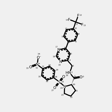 O=C(NCc1cc(-c2ccc(C(F)(F)F)cc2)ncn1)[C@@H]1CCCN1S(=O)(=O)c1ccc([N+](=O)[O-])cc1